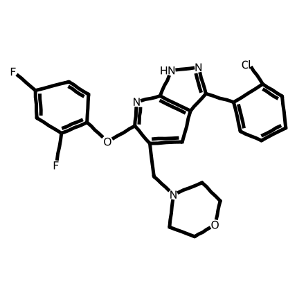 Fc1ccc(Oc2nc3[nH]nc(-c4ccccc4Cl)c3cc2CN2CCOCC2)c(F)c1